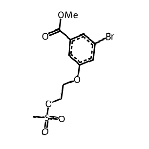 COC(=O)c1cc(Br)cc(OCCOS(C)(=O)=O)c1